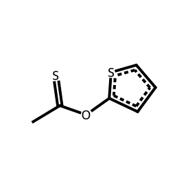 CC(=S)Oc1cccs1